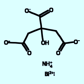 O=C([O-])CC(O)(CC(=O)[O-])C(=O)[O-].[Bi+2].[NH4+]